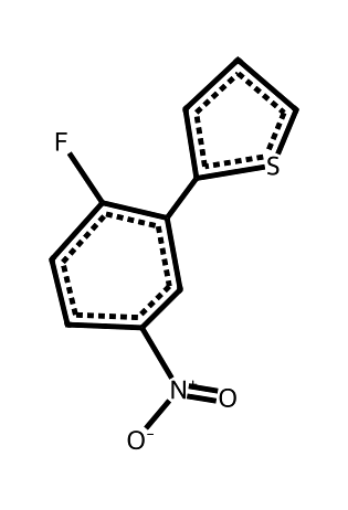 O=[N+]([O-])c1ccc(F)c(-c2cccs2)c1